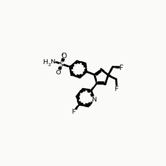 NS(=O)(=O)c1ccc(C2=CC(CF)(CF)C=C2c2ccc(F)cn2)cc1